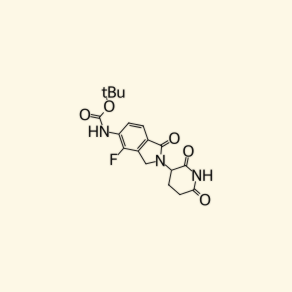 CC(C)(C)OC(=O)Nc1ccc2c(c1F)CN(C1CCC(=O)NC1=O)C2=O